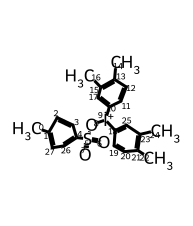 Cc1ccc(S(=O)(=O)O[I+](c2ccc(C)c(C)c2)c2ccc(C)c(C)c2)cc1